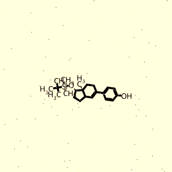 CC(C)(C)[Si](C)(C)O[C@H]1CCC2C=C(c3ccc(O)cc3)CC[C@@]21C